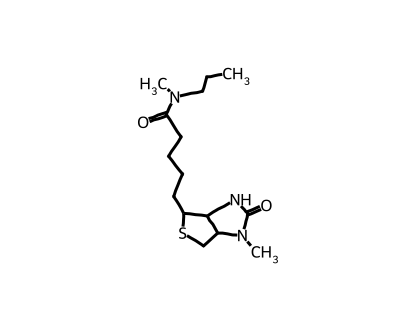 CCCN(C)C(=O)CCCCC1SCC2C1NC(=O)N2C